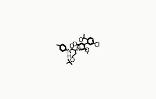 COc1cn(C(CCOC(C)(C)C)C(=O)Nc2ccc(C)cc2)c(=O)cc1-c1cc(Cl)ccc1C(C)=O